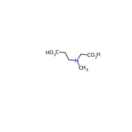 CN(CCC(=O)O)CC(=O)O